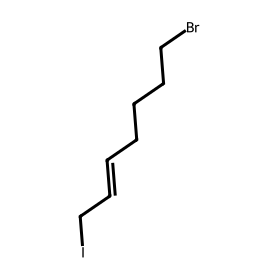 BrCCCCC=CCI